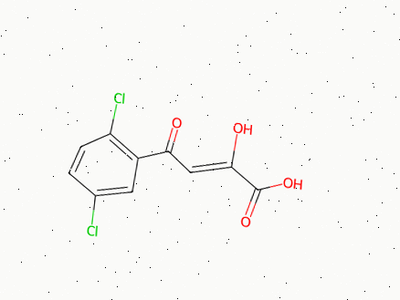 O=C(O)C(O)=CC(=O)c1cc(Cl)ccc1Cl